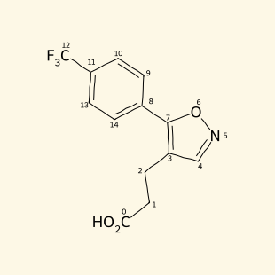 O=C(O)CCc1cnoc1-c1ccc(C(F)(F)F)cc1